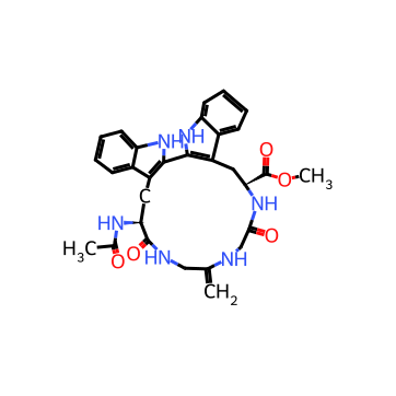 C=C1CNC(=O)[C@@H](NC(C)=O)Cc2c([nH]c3ccccc23)-c2[nH]c3ccccc3c2C[C@@H](C(=O)OC)NC(=O)CN1